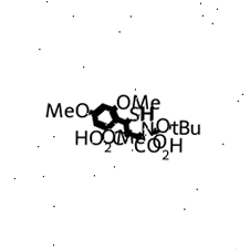 COc1cc(OC)c(C(S)C(C(=O)O)[C@H](NC(=O)OC(C)(C)C)C(=O)O)c(OC)c1